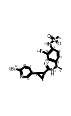 C[C@@H](NC(=O)C1CC1c1ccc(C(C)(C)C)nc1)c1ccc(NS(C)(=O)=O)c(F)c1